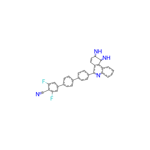 N#Cc1c(F)cc(-c2ccc(-c3ccc(-c4nc5ccccc5c5c4C=CC(=N)C5=N)cc3)cc2)cc1F